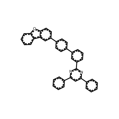 c1ccc(-c2cc(-c3ccccc3)nc(-c3cccc(-c4ccc(-c5ccc6oc7ccccc7c6c5)cc4)c3)n2)cc1